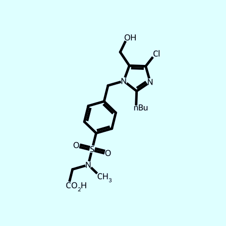 CCCCc1nc(Cl)c(CO)n1Cc1ccc(S(=O)(=O)N(C)CC(=O)O)cc1